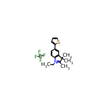 CC[N+]1=C(C)C(C)(C)c2cc(-c3cccs3)ccc21.F[B-](F)(F)F